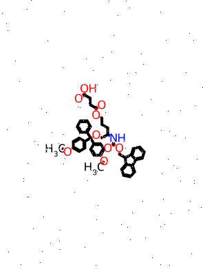 COc1ccc(C(OCC(CCCOC(=O)CCC(=O)O)NC(=O)OCC2c3ccccc3-c3ccccc32)(c2ccccc2)c2ccc(OC)cc2)cc1